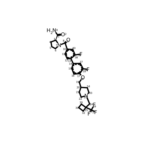 NC(=O)[C@@H]1CCCN1C(=O)c1ccc(-c2ccc(OCC3CCN(CC4(C(F)(F)F)CCC4)CC3)c(F)c2)c(F)c1